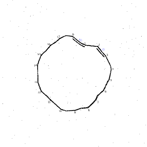 [C]1=C/C=C\CCCCCCCCCCCCCC/1